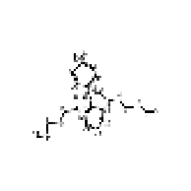 CCCCCCC[N+](CCCCCCC)(c1ccccc1)c1ccccc1.[Br-]